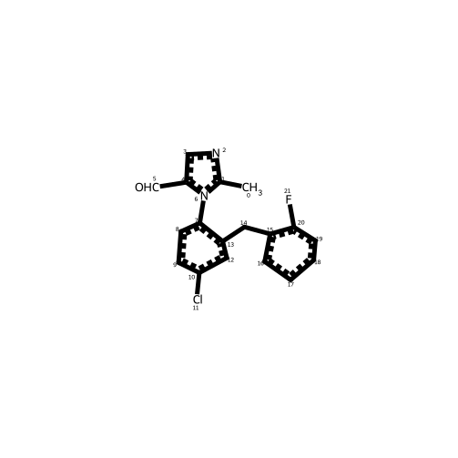 Cc1ncc(C=O)n1-c1ccc(Cl)cc1Cc1ccccc1F